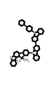 CC1(C)c2cc(-n3c4ccccc4c4ccc(-c5ccc6c(c5)c5ccccc5n6-c5ccc(-c6ccccc6)cc5)cc43)ccc2-c2ccc3oc4ccccc4c3c21